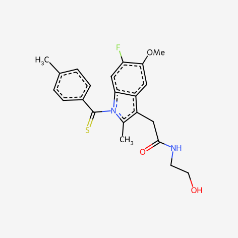 COc1cc2c(CC(=O)NCCO)c(C)n(C(=S)c3ccc(C)cc3)c2cc1F